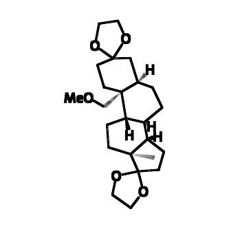 COC[C@]12CCC3(C[C@H]1CC[C@@H]1[C@@H]2CC[C@@]2(C)[C@H]1CCC21OCCO1)OCCO3